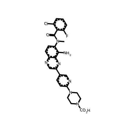 CN(C(=O)c1c(F)cccc1Cl)c1ccc2ncc(-c3ccc(N4CCN(C(=O)O)CC4)nc3)nc2c1N